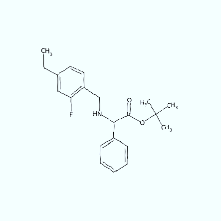 CCc1ccc(CNC(C(=O)OC(C)(C)C)c2ccccc2)c(F)c1